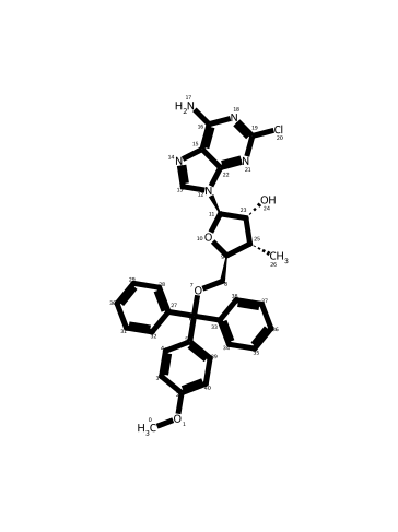 COc1ccc(C(OC[C@H]2O[C@@H](n3cnc4c(N)nc(Cl)nc43)[C@H](O)[C@@H]2C)(c2ccccc2)c2ccccc2)cc1